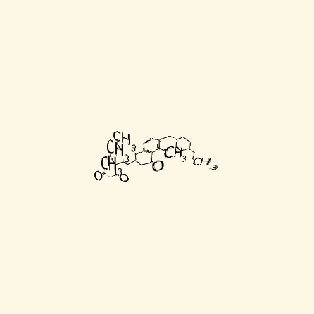 CCCC1CCC(Cc2ccc3c(c2C)C(=O)CC(CC(CCC)C(CC)C(=O)CC(C)=O)C3)CC1